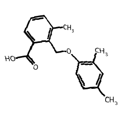 Cc1ccc(OCc2c(C)cccc2C(=O)O)c(C)c1